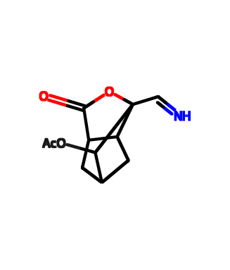 CC(=O)OC1C2CC3C(=O)OC1(C=N)C3C2